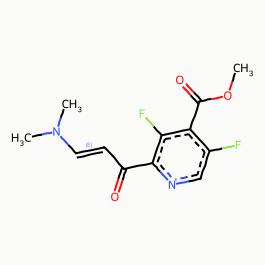 COC(=O)c1c(F)cnc(C(=O)/C=C/N(C)C)c1F